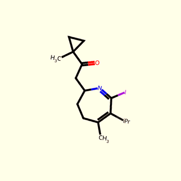 CC1=C(C(C)C)C(I)=NC(CC(=O)C2(C)CC2)CC1